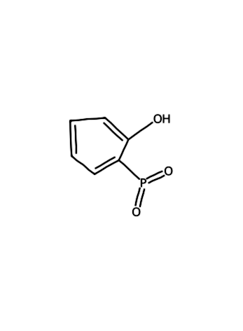 O=P(=O)c1ccccc1O